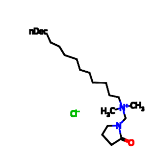 CCCCCCCCCCCCCCCCCCCC[N+](C)(C)CN1CCCC1=O.[Cl-]